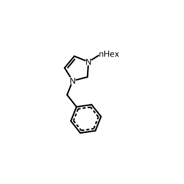 CCCCCCN1C=CN(Cc2ccccc2)C1